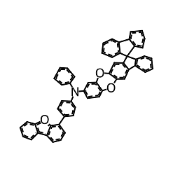 c1ccc(N(c2ccc(-c3cccc4c3oc3ccccc34)cc2)c2ccc3c(c2)Oc2cc4c(cc2O3)-c2ccccc2C42c3ccccc3-c3ccccc32)cc1